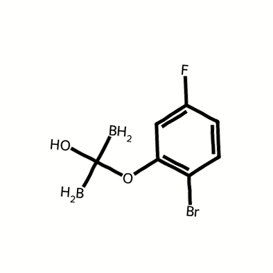 BC(B)(O)Oc1cc(F)ccc1Br